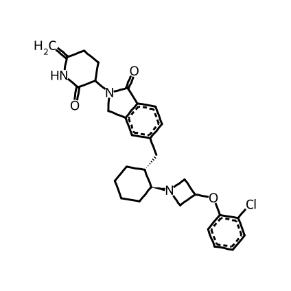 C=C1CCC(N2Cc3cc(C[C@H]4CCCC[C@@H]4N4CC(Oc5ccccc5Cl)C4)ccc3C2=O)C(=O)N1